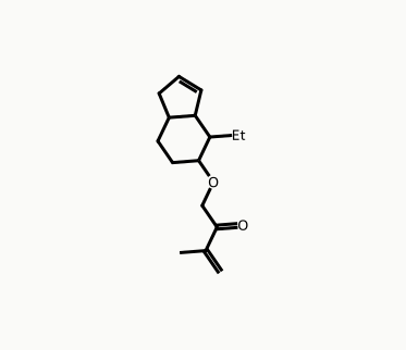 C=C(C)C(=O)COC1CCC2CC=CC2C1CC